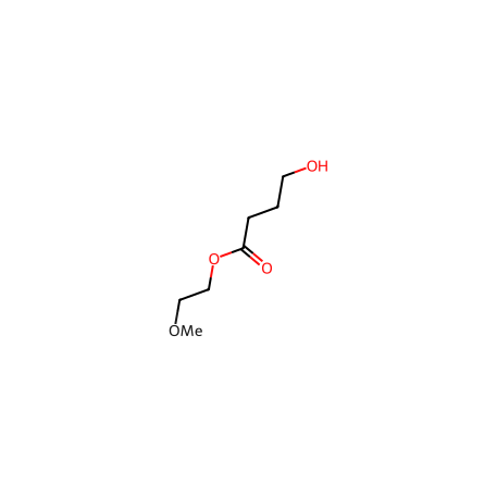 COCCOC(=O)CCCO